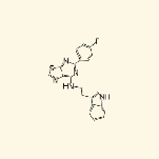 Fc1ccc(-c2nc(NCCc3c[nH]c4ccccc34)c3ncsc3n2)cc1